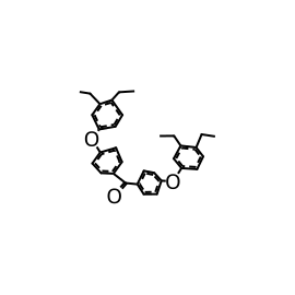 CCc1ccc(Oc2ccc(C(=O)c3ccc(Oc4ccc(CC)c(CC)c4)cc3)cc2)cc1CC